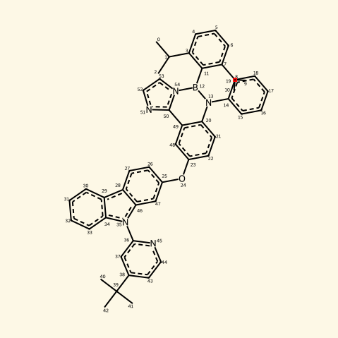 CC(C)c1cccc(C(C)C)c1B1N(c2ccccc2)c2ccc(Oc3ccc4c5ccccc5n(-c5cc(C(C)(C)C)ccn5)c4c3)cc2-c2nccn21